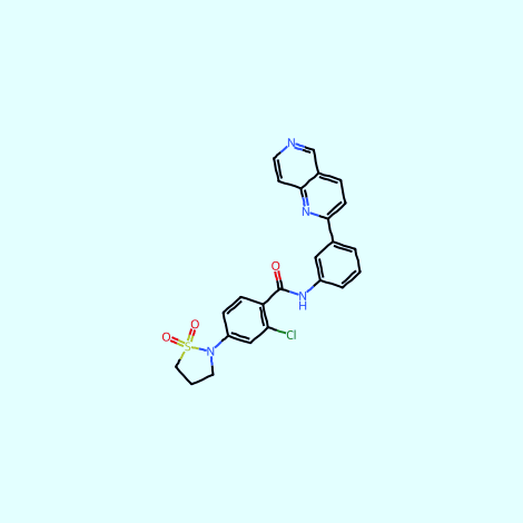 O=C(Nc1cccc(-c2ccc3cnccc3n2)c1)c1ccc(N2CCCS2(=O)=O)cc1Cl